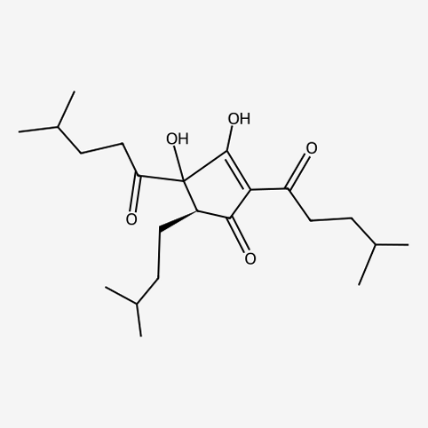 CC(C)CCC(=O)C1=C(O)C(O)(C(=O)CCC(C)C)[C@H](CCC(C)C)C1=O